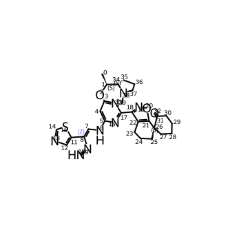 C[C@H](Oc1cc(N/C=C(\N=N)c2cncs2)nc(-c2noc3c2CCC[C@@]32CCCCC2=O)n1)[C@@H]1CCCN1C